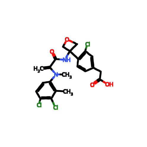 C=C(C(=O)NC1(c2ccc(CC(=O)O)cc2Cl)COC1)N(C)c1ccc(Cl)c(Cl)c1C